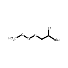 CCCCC(CC)COOOC(=O)O